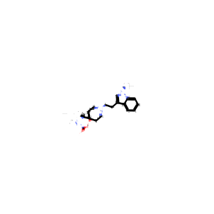 CN1C(=O)OC2(CCN(CCc3cn(C)c4ccccc34)CC2)C1(C)C